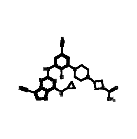 CC(=O)N1CC(N2CCN(c3cc(C#N)cc(Nc4nc(NC5CC5)c5ncc(C#N)n5n4)c3Cl)CC2)C1